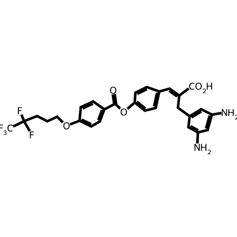 Nc1cc(N)cc(C/C(=C\c2ccc(OC(=O)c3ccc(OCCCC(F)(F)C(F)(F)F)cc3)cc2)C(=O)O)c1